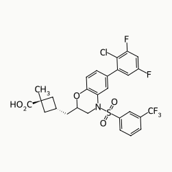 C[C@]1(C(=O)O)C[C@H](CC2CN(S(=O)(=O)c3cccc(C(F)(F)F)c3)c3cc(-c4cc(F)cc(F)c4Cl)ccc3O2)C1